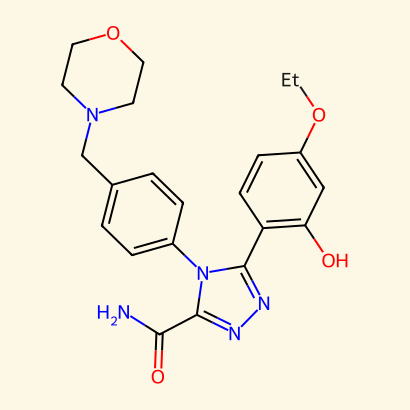 CCOc1ccc(-c2nnc(C(N)=O)n2-c2ccc(CN3CCOCC3)cc2)c(O)c1